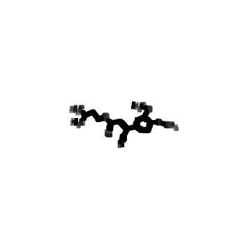 COc1ccc(C(C#N)=CC(=O)OCCC(C)C)cc1OC